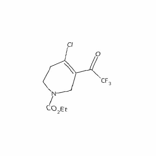 CCOC(=O)N1CCC(Cl)=C(C(=O)C(F)(F)F)C1